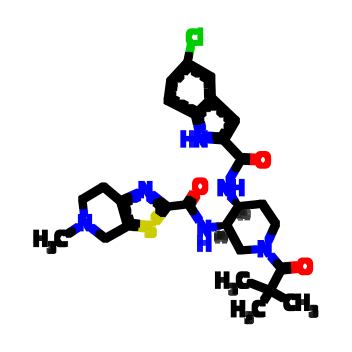 CN1CCc2nc(C(=O)N[C@@H]3CN(C(=O)C(C)(C)C)CC[C@@H]3NC(=O)c3cc4cc(Cl)ccc4[nH]3)sc2C1